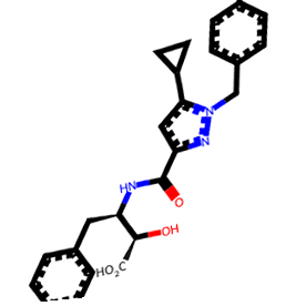 CSc1ccc(Cn2nc(C(=O)N[C@H](Cc3ccccc3)[C@@H](O)C(=O)O)cc2C2CC2)cc1